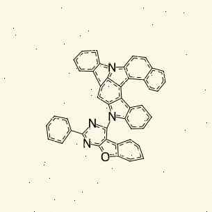 c1ccc(-c2nc(-n3c4ccccc4c4c5c6c7ccccc7ccc6n6c7ccccc7c(cc43)c56)c3c(n2)oc2ccccc23)cc1